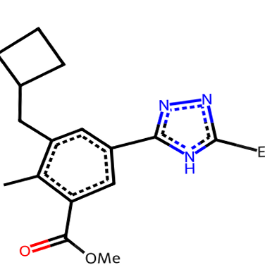 CCc1nnc(-c2cc(CC3CCC3)c(C)c(C(=O)OC)c2)[nH]1